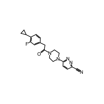 N#Cc1ccc(N2CCN(C(=O)Cc3ccc(C4CC4)c(F)c3)CC2)nn1